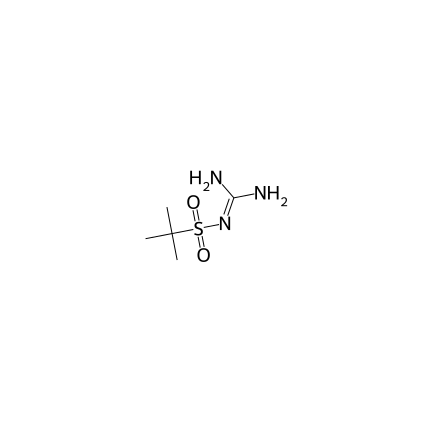 CC(C)(C)S(=O)(=O)N=C(N)N